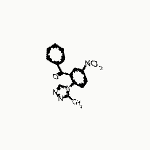 Cc1nncn1-c1ccc([N+](=O)[O-])cc1C(=O)c1ccccc1